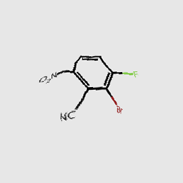 N#Cc1c([N+](=O)[O-])ccc(F)c1Br